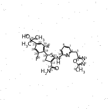 Cc1nnc(Cc2cccc(NC3=C(C(N)=O)CC(c4c(F)cc(C(C)(C)O)cc4F)S3)n2)o1